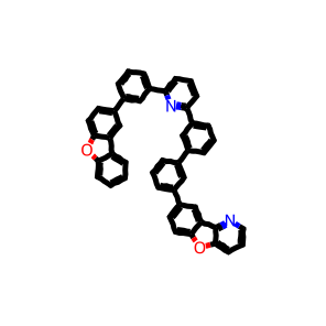 c1cc(-c2cccc(-c3cccc(-c4cccc(-c5ccc6oc7ccccc7c6c5)c4)n3)c2)cc(-c2ccc3oc4cccnc4c3c2)c1